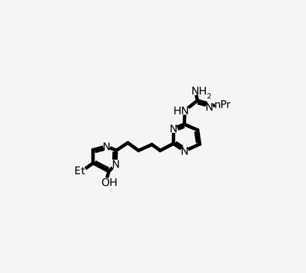 CCCN=C(N)Nc1ccnc(CCCCc2ncc(CC)c(O)n2)n1